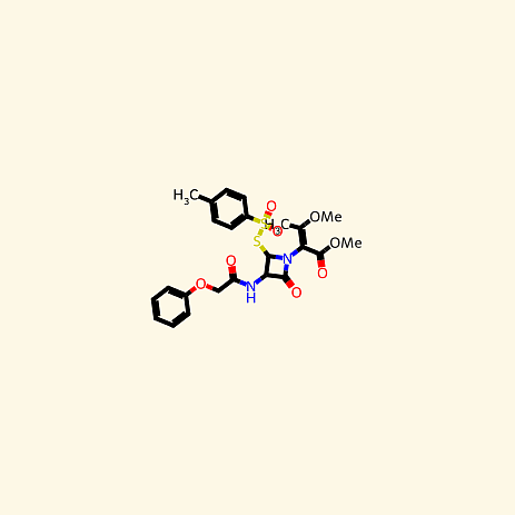 COC(=O)/C(=C(/C)OC)N1C(=O)C(NC(=O)COc2ccccc2)C1SS(=O)(=O)c1ccc(C)cc1